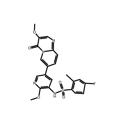 COc1ncc(-c2ccc3ncc(OC)c(=O)n3c2)cc1NS(=O)(=O)c1ccc(F)cc1C